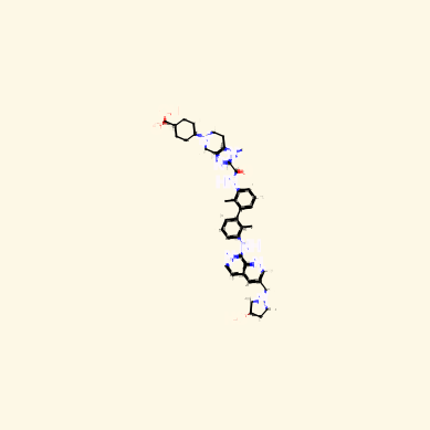 Cc1c(NC(=O)c2nc3c(n2C)CCN(C2CCC(C(=O)O)CC2)C3)cccc1-c1cccc(Nc2nccc3cc(CN4CC[C@@H](O)C4)cnc23)c1C